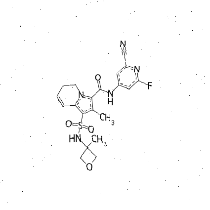 Cc1c(S(=O)(=O)NC2(C)COC2)c2n(c1C(=O)Nc1cc(F)nc(C#N)c1)CCC=C2